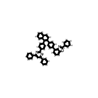 c1ccc(-c2cc(-c3ccccc3)nc(-c3ccc(-c4c(-c5ccc(-c6cccc7oc(-c8ccccc8)nc67)cc5)ccc5ccccc45)cc3)n2)cc1